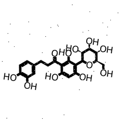 O=C(CCc1ccc(O)c(O)c1)c1c(O)cc(O)c(C2O[C@H](CO)[C@@H](O)[C@H](O)[C@H]2O)c1O